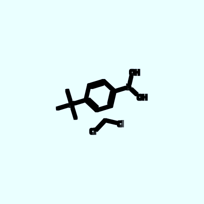 C[Si](C)(C)c1ccc(B(O)O)cc1.ClCCl